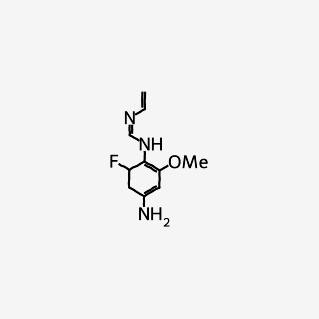 C=C/N=C\NC1=C(OC)C=C(N)CC1F